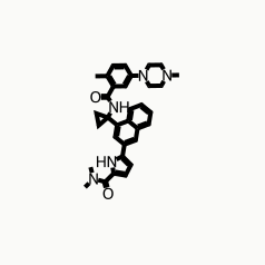 Cc1ccc(N2CCN(C)CC2)cc1C(=O)NC1(c2cc(-c3ccc(C(=O)N(C)C)[nH]3)cc3ccccc23)CC1